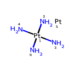 [NH2][Pt]([NH2])([NH2])[NH2].[Pt]